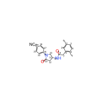 Cc1ccc(C)c(CC(=O)NC2CC(=O)N(c3ccc(C#N)cc3)C2)c1